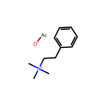 CC(=O)[O-].C[N+](C)(C)CCc1ccccc1